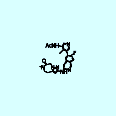 CC(=O)Nc1cncc(-c2cc3cc(Nc4cc5n(n4)CC(=O)N(C)CC5)ncc3cc2F)c1C